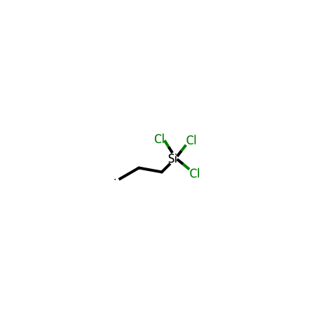 [CH2]CC[Si](Cl)(Cl)Cl